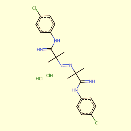 CC(C)(N=NC(C)(C)C(=N)Nc1ccc(Cl)cc1)C(=N)Nc1ccc(Cl)cc1.Cl.Cl